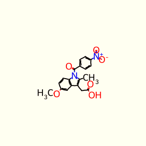 COc1ccc2c(c1)c(CC(=O)O)c(C)n2C(=O)c1ccc([N+](=O)[O-])cc1